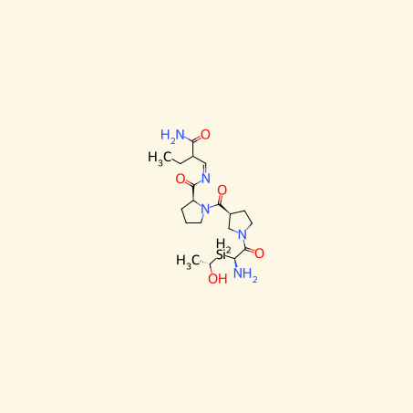 CCC(/C=N\C(=O)[C@@H]1CCCN1C(=O)[C@H]1CCN(C(=O)[C@@H](N)[SiH2][C@@H](C)O)C1)C(N)=O